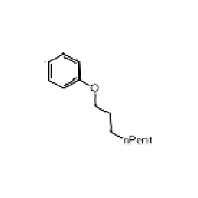 CCCCCCCCOc1cc[c]cc1